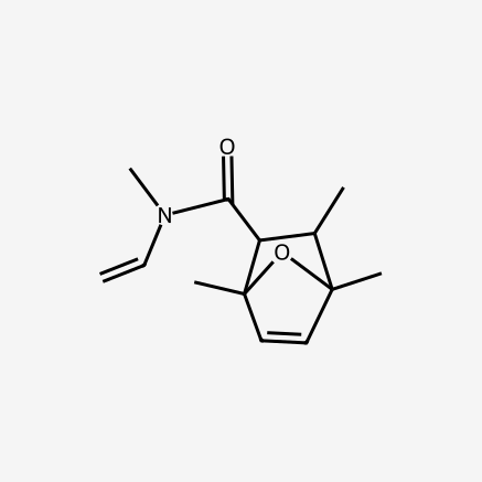 C=CN(C)C(=O)C1C(C)C2(C)C=CC1(C)O2